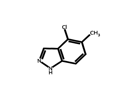 Cc1ccc2[nH]ncc2c1Cl